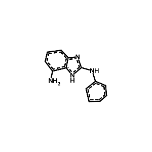 Nc1cccc2nc(Nc3ccccc3)[nH]c12